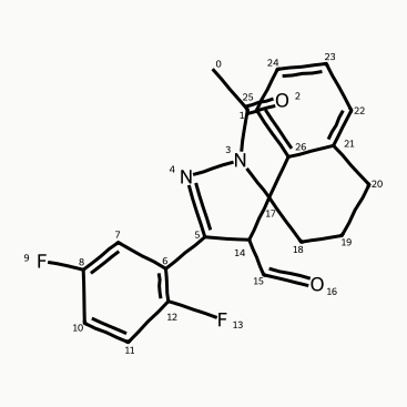 CC(=O)N1N=C(c2cc(F)ccc2F)C(C=O)C12CCCc1ccccc12